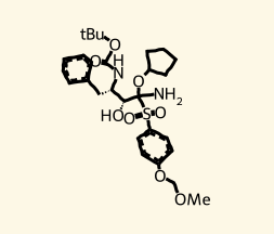 COCOc1ccc(S(=O)(=O)C(N)(OC2CCCC2)[C@H](O)[C@H](Cc2ccccc2)NC(=O)OC(C)(C)C)cc1